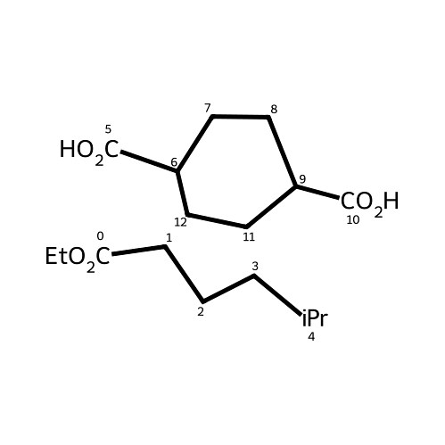 CCOC(=O)CCCC(C)C.O=C(O)C1CCC(C(=O)O)CC1